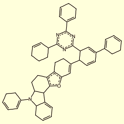 C1=CCCC(C2=CC(c3nc(C4=CCCC=C4)nc(C4C=CCCC4)n3)C(C3=Cc4oc5c(c4CC3)CCC3C5C4=CC=CCC4N3C3=CC=CCC3)C=C2)=C1